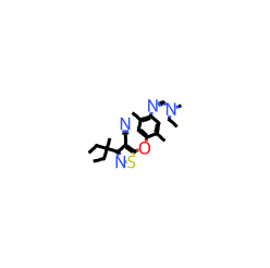 CCN(C)/C=N\c1cc(C)c(Oc2snc(C(C)(CC)CC)c2C#N)cc1C